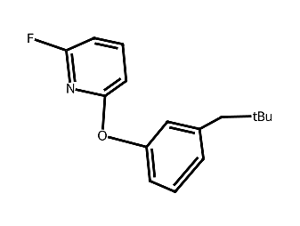 CC(C)(C)Cc1cccc(Oc2cccc(F)n2)c1